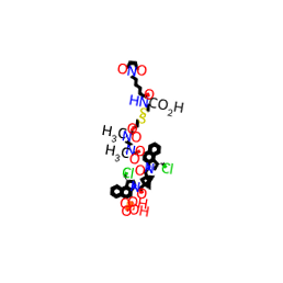 CN(CCN(C)C(=O)Oc1cc2c(c3ccccc13)[C@H](CCl)CN2C(=O)C12CC3(C(=O)N4C[C@@H](CCl)c5c4cc(OP(=O)(O)O)c4ccccc54)CC13C2)C(=O)OCCSSC[C@H](NC(=O)CCCCCN1C(=O)C=CC1=O)C(=O)O